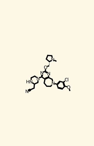 COc1ccc(N2CCCc3c(nc(OC[C@@H]4CCCN4C)nc3N3CCNC(CC#N)C3)C2)cc1Cl